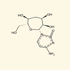 Nc1ccn([C@@H]2O[C@H](CO)[C@@H](O)C[C@@H](O)[C@H]2O)c(=O)n1